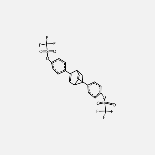 O=S(=O)(Oc1ccc(C2=CC3CCC2C=C3c2ccc(OS(=O)(=O)C(F)(F)F)cc2)cc1)C(F)(F)F